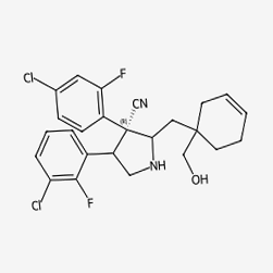 N#C[C@]1(c2ccc(Cl)cc2F)C(CC2(CO)CC=CCC2)NCC1c1cccc(Cl)c1F